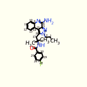 CCCn1nc2c(N)nc3ccccc3c2c1CC(C)(C)NC(=O)c1ccc(F)cc1